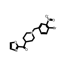 O=C(c1ncco1)C1CCN(Cc2ccc(Br)c([N+](=O)[O-])c2)CC1